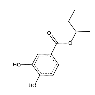 CCC(C)OC(=O)c1ccc(O)c(O)c1